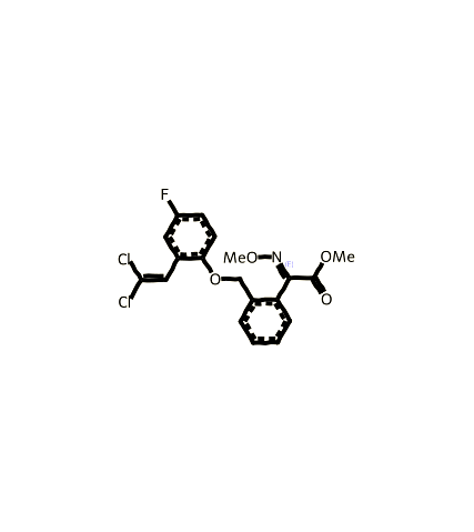 CO/N=C(/C(=O)OC)c1ccccc1COc1ccc(F)cc1C=C(Cl)Cl